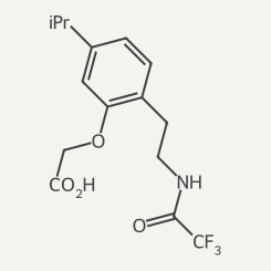 CC(C)c1ccc(CCNC(=O)C(F)(F)F)c(OCC(=O)O)c1